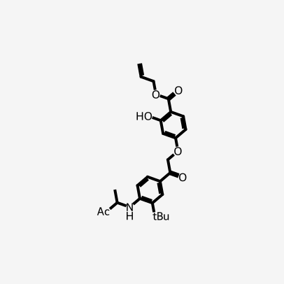 C=CCOC(=O)c1ccc(OCC(=O)c2ccc(NC(C)C(C)=O)c(C(C)(C)C)c2)cc1O